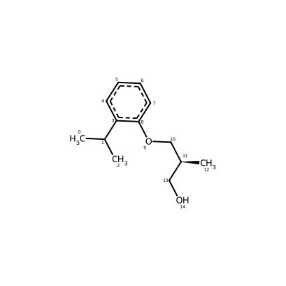 CC(C)c1ccccc1OC[C@@H](C)CO